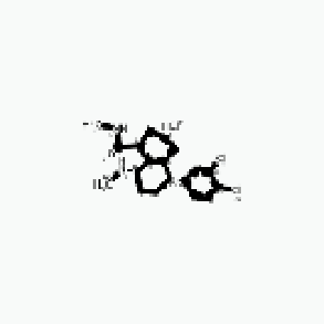 CNC(=O)c1cccc2c1[C@@H](NC)CC[C@H]2c1ccc(Cl)c(Cl)c1.Cl